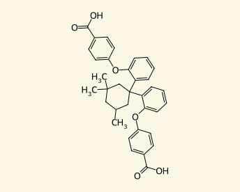 CC1CC(C)(C)CC(c2ccccc2Oc2ccc(C(=O)O)cc2)(c2ccccc2Oc2ccc(C(=O)O)cc2)C1